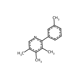 Cc1cccc(-c2ncc(C)c(C)c2C)c1